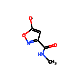 CNC(=O)c1cc([O])on1